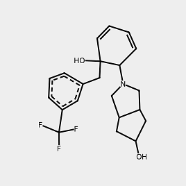 OC1CC2CN(C3C=CC=CC3(O)Cc3cccc(C(F)(F)F)c3)CC2C1